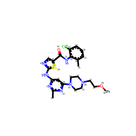 Cc1nc(Nc2ncc(C(=O)Nc3c(C)cccc3Cl)s2)cc(N2CCN(CCOC(C)C)CC2)n1